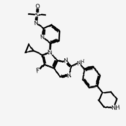 CS(C)(=O)=Nc1cccc(-n2c(C3CC3)c(F)c3cnc(Nc4ccc(C5CCNCC5)cc4)nc32)n1